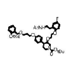 COc1ccccc1COCCCOc1ccc(C2CCN(C(=O)OC(C)(C)C)CC2OCCOc2ccc(F)cc2CCNC(C)=O)cc1